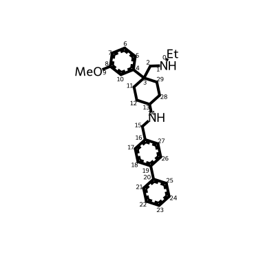 CCNCC1(c2cccc(OC)c2)CCC(NCc2ccc(-c3ccccc3)cc2)CC1